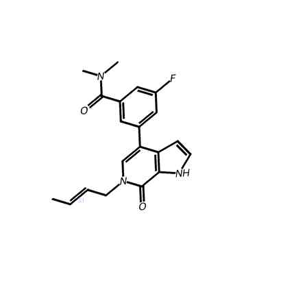 C/C=C/Cn1cc(-c2cc(F)cc(C(=O)N(C)C)c2)c2cc[nH]c2c1=O